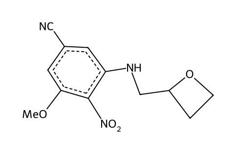 COc1cc(C#N)cc(NCC2CCO2)c1[N+](=O)[O-]